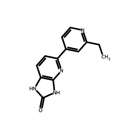 CCc1cc(-c2ccc3[nH]c(=O)[nH]c3n2)ccn1